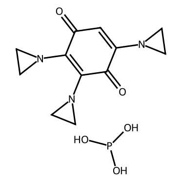 O=C1C=C(N2CC2)C(=O)C(N2CC2)=C1N1CC1.OP(O)O